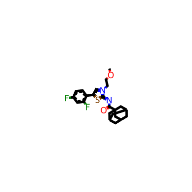 COCCn1cc(-c2ccc(F)cc2F)sc1=NC(=O)C12CC3CC(CC(C3)C1)C2